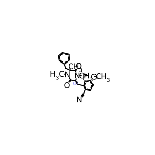 COc1ccc(C#N)c(/C=C2/C(=O)N(C)C(C)(Cc3ccccc3)C(=O)N2C)c1F